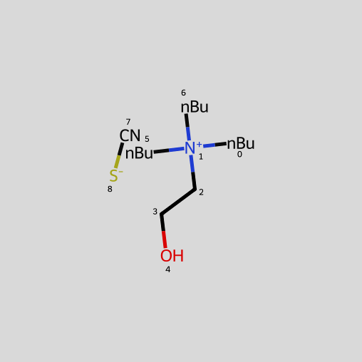 CCCC[N+](CCO)(CCCC)CCCC.N#C[S-]